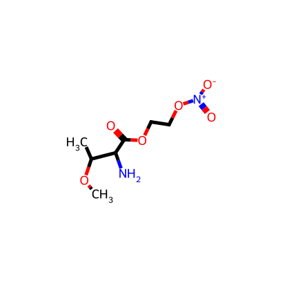 COC(C)C(N)C(=O)OCCO[N+](=O)[O-]